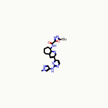 Cn1cc(Nc2nccc(-c3cnc4c(c3)CCCCC4NC(=O)c3nnc(C(C)(C)C)o3)n2)cn1